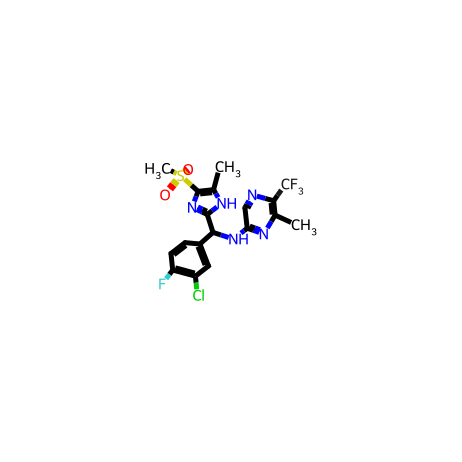 Cc1nc(NC(c2ccc(F)c(Cl)c2)c2nc(S(C)(=O)=O)c(C)[nH]2)cnc1C(F)(F)F